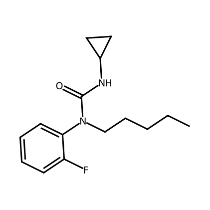 CCCCCN(C(=O)NC1CC1)c1ccccc1F